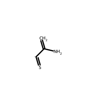 C=C(N)[C]=S